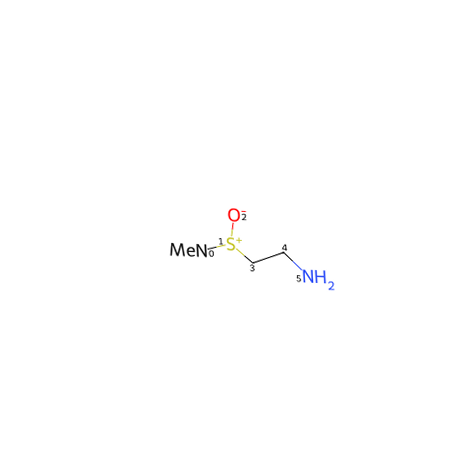 CN[S+]([O-])CCN